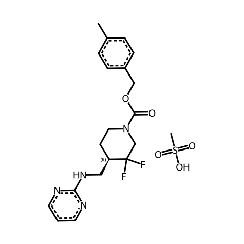 CS(=O)(=O)O.Cc1ccc(COC(=O)N2CC[C@H](CNc3ncccn3)C(F)(F)C2)cc1